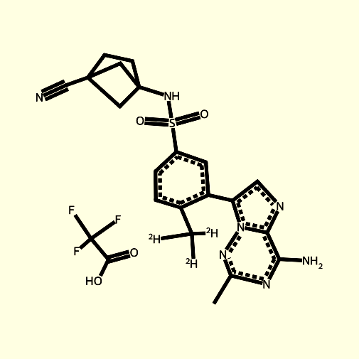 O=C(O)C(F)(F)F.[2H]C([2H])([2H])c1ccc(S(=O)(=O)NC23CCC(C#N)(C2)C3)cc1-c1cnc2c(N)nc(C)nn12